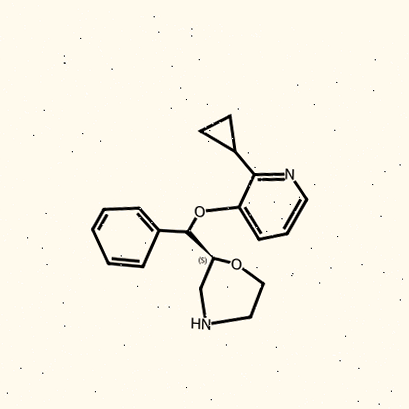 c1ccc(C(Oc2cccnc2C2CC2)[C@@H]2CNCCO2)cc1